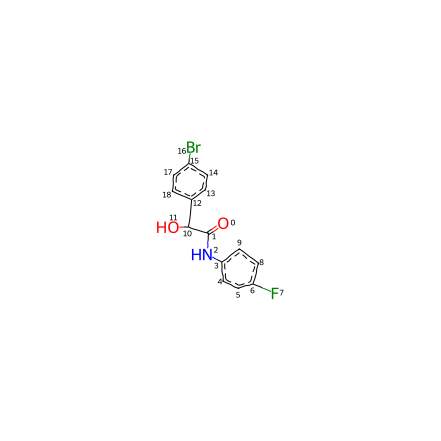 O=C(Nc1ccc(F)cc1)C(O)c1ccc(Br)cc1